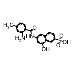 Cc1ccc(C(=O)Nc2cc(O)c3cc(S(=O)(=O)O)ccc3c2)c(N)c1